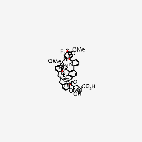 COc1ccc(CN(Cc2ccc(OC)cc2)S(=O)(=O)c2c(S(=O)(=O)NC(CO)CNC(=O)O)ccc(-c3cccc(NC(=O)C(F)(F)F)n3)c2-c2nnn(Cc3ccc(OC)cc3)n2)cc1